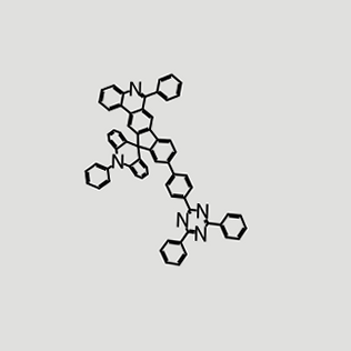 c1ccc(-c2nc(-c3ccccc3)nc(-c3ccc(-c4ccc5c(c4)C4(c6cc7c(cc6-5)c(-c5ccccc5)nc5ccccc57)c5ccccc5N(c5ccccc5)c5ccccc54)cc3)n2)cc1